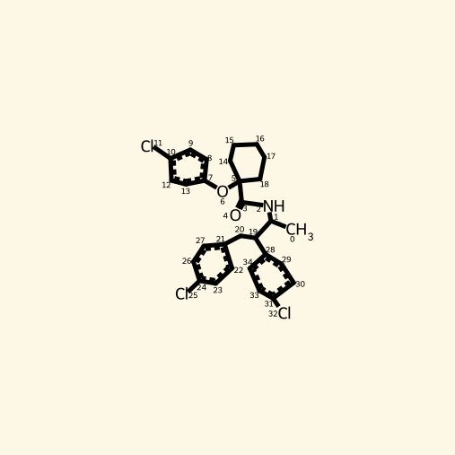 CC(NC(=O)C1(Oc2ccc(Cl)cc2)CCCCC1)C(Cc1ccc(Cl)cc1)c1ccc(Cl)cc1